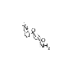 CC(C)(C)N1Cc2cccc(C(=O)N3CCN(C(=O)CN)CC3)c2C1